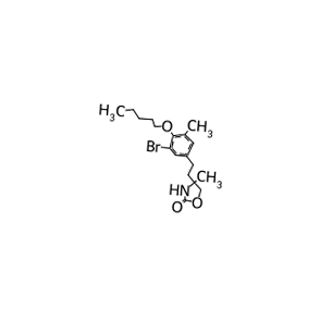 CCCCCOc1c(C)cc(CC[C@]2(C)COC(=O)N2)cc1Br